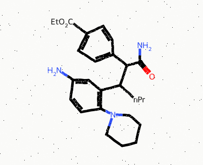 CCCC(c1cc(N)ccc1N1CCCCC1)C(C(N)=O)c1ccc(C(=O)OCC)cc1